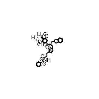 CCc1c(OC)cc([C@@H](O)[C@@H](CC2Cc3ccccc3C2)Cn2ccc(CCC(=O)NS(=O)(=O)c3ccccc3)c2)cc1OC